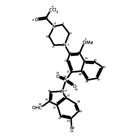 COc1c(N2CCN(C(=O)C(Cl)(Cl)Cl)CC2)cc(S(=O)(=O)n2cc(C=O)c3cc(Br)ccc32)c2ccccc12